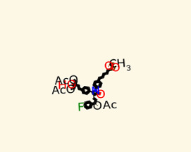 CC(=O)OCC(O)(CCc1ccc([C@@H]2[C@@H](CC[C@H](OC(C)=O)c3ccc(F)cc3)C(=O)N2c2ccc(CCCCCCS(C)(=O)=O)cc2)cc1)COC(C)=O